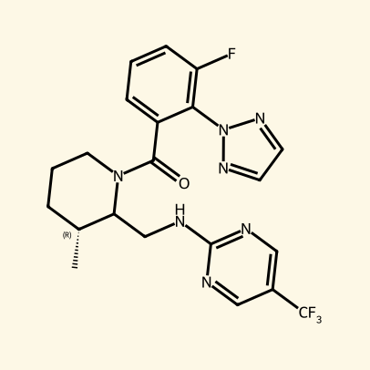 C[C@@H]1CCCN(C(=O)c2cccc(F)c2-n2nccn2)C1CNc1ncc(C(F)(F)F)cn1